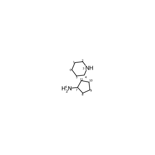 C1CCNCC1.NC1CCCC1